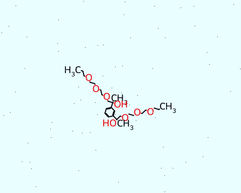 CCCOCCOCCOCC(C)(O)c1cccc(C(C)(O)COCCOCCOCCC)c1